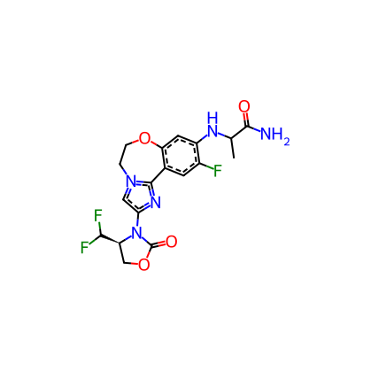 CC(Nc1cc2c(cc1F)-c1nc(N3C(=O)OC[C@H]3C(F)F)cn1CCO2)C(N)=O